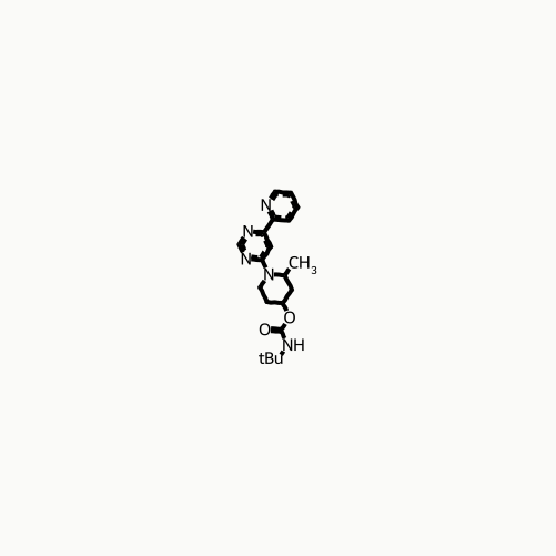 CC1CC(OC(=O)NC(C)(C)C)CCN1c1cc(-c2ccccn2)ncn1